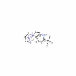 CCN1CC2CC(C1)N2Cc1ccc(C(C)(C)C)nc1